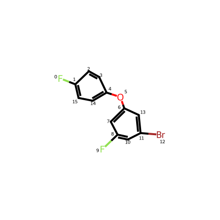 Fc1ccc(Oc2cc(F)cc(Br)c2)cc1